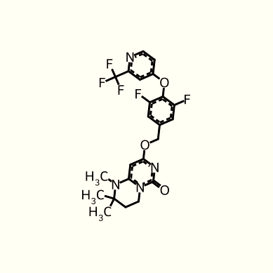 CN1c2cc(OCc3cc(F)c(Oc4ccnc(C(F)(F)F)c4)c(F)c3)nc(=O)n2CCC1(C)C